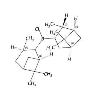 C[C@@H]1CC2C[C@@H](C1B(Cl)C1C[C@@H]3C[C@H]([C@H]1C)C3(C)C)C2(C)C